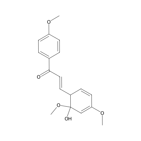 COC1=CC(O)(OC)C(C=CC(=O)c2ccc(OC)cc2)C=C1